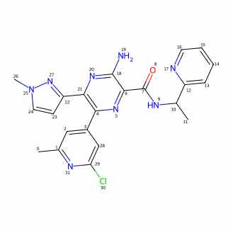 Cc1cc(-c2nc(C(=O)NC(C)c3ccccn3)c(N)nc2-c2ccn(C)n2)cc(Cl)n1